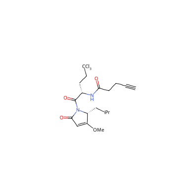 C#CCCC(=O)N[C@@H](CCC(Cl)(Cl)Cl)C(=O)N1C(=O)C=C(OC)[C@H]1CC(C)C